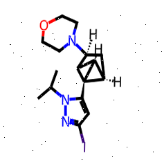 CC(C)n1nc(I)cc1[C@]12C3[C@@H](N4CCOCC4)C[C@@H]1[C@H]32